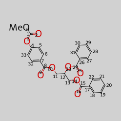 COC(=O)Oc1ccc(C(=O)OCC(COC(=O)c2ccccc2)OC(=O)c2ccccc2)cc1